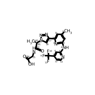 Cc1cc(Nc2cc(C(F)(F)F)ccn2)nc(-c2cn([C@H](C)C(=O)NCC(=O)O)nn2)c1